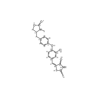 CN1C(=O)OCC1Cc1ccc(Oc2ccc(/C=C3/SC(=S)NC3=O)cc2Cl)cc1